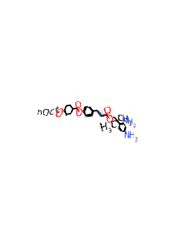 CCCCCCCCOC1CCC(C(=O)Oc2ccc(/C=C/C(=O)OCC(C)(C)c3ccc(N)cc3N)cc2)CC1